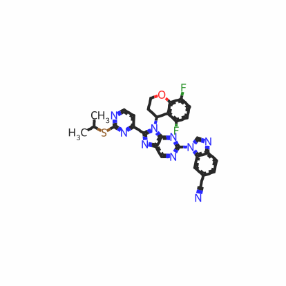 CC(C)Sc1nccc(-c2nc3cnc(-n4cnc5ccc(C#N)cc54)nc3n2C2CCOc3c(F)ccc(F)c32)n1